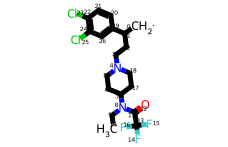 [CH2]C(CCN1CCC(N(CC)C(=O)C(F)(F)F)CC1)c1ccc(Cl)c(Cl)c1